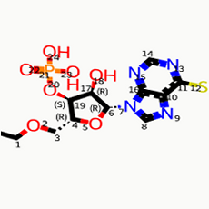 CCOC[C@H]1O[C@@H](n2cnc3c(S)ncnc32)[C@H](O)[C@@H]1OP(=O)(O)O